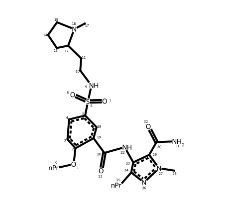 CCCOc1ccc(S(=O)(=O)NCCC2CCCN2C)cc1C(=O)Nc1c(CCC)nn(C)c1C(N)=O